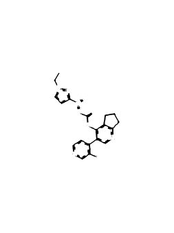 CCn1ccc(/[SH](=O)=N/C(=O)Nc2c(-c3ccncc3F)cnc3c2CCC3)n1